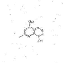 CSc1cc(C)nc2c(O)cccc12